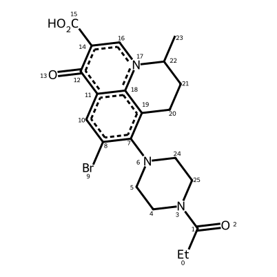 CCC(=O)N1CCN(c2c(Br)cc3c(=O)c(C(=O)O)cn4c3c2CCC4C)CC1